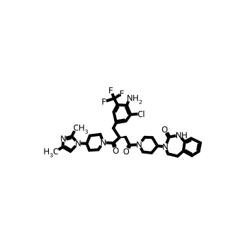 Cc1cn(C2CCN(C(=O)[C@H](CC(=O)N3CCC(N4CCc5ccccc5NC4=O)CC3)Cc3cc(Cl)c(N)c(C(F)(F)F)c3)CC2)c(C)n1